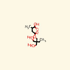 CCC(CO)(CO)COC(=O)CC(C)C(=O)O